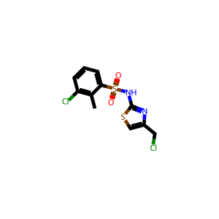 Cc1c(Cl)cccc1S(=O)(=O)Nc1nc(CCl)cs1